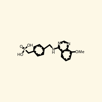 COc1cccc2c(NCc3ccc(CP(=O)(O)O)cc3)ncnc12